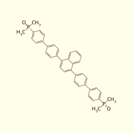 CP(C)(=O)c1ccc(-c2ccc(-c3ccc(-c4ccc(-c5ccc(P(C)(C)=O)cc5)cc4)c4ccccc34)cc2)cc1